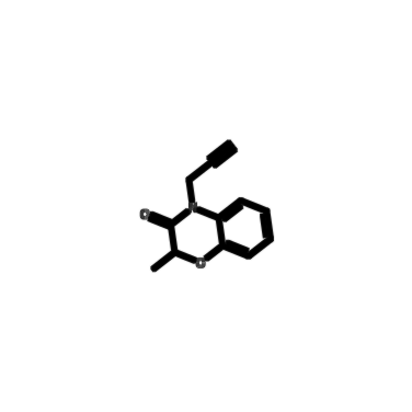 C#CCN1C(=O)C(C)Oc2ccccc21